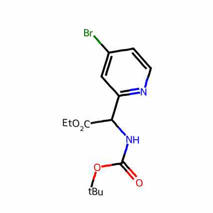 CCOC(=O)C(NC(=O)OC(C)(C)C)c1cc(Br)ccn1